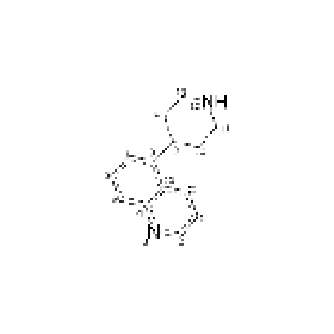 [c]1ccnc2cccc(C3CCNCC3)c12